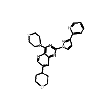 c1ccc(-c2ccn(-c3nc(N4CCOCC4)c4ncc(C5CCOCC5)cc4n3)n2)nc1